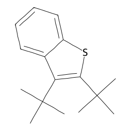 CC(C)(C)c1sc2ccccc2c1C(C)(C)C